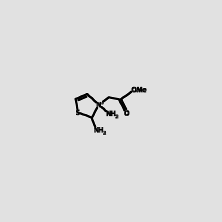 COC(=O)C[N+]1(N)C=CSC1N